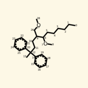 CCCCCCC(OC)C(CCC(C)(c1ccccc1)c1ccccc1)COC